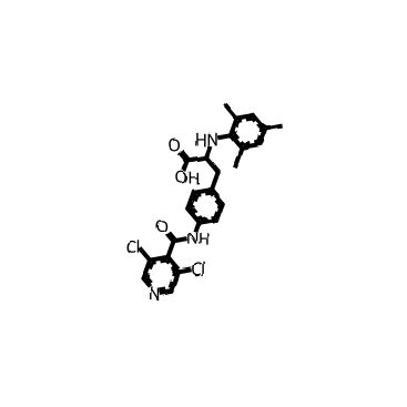 Cc1cc(C)c(NC(Cc2ccc(NC(=O)c3c(Cl)cncc3Cl)cc2)C(=O)O)c(C)c1